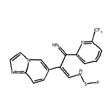 N=C(/C(=C\NSF)c1ccc2nccn2c1)c1cccc(C(F)(F)F)n1